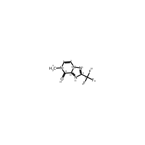 Cn1ccn2nc(C(F)(F)F)nc2c1=O